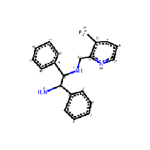 NC(c1ccccc1)C(NCc1ncccc1C(F)(F)F)c1ccccc1